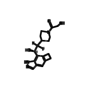 O=C(CO)N1CCC(C(F)(F)[C@H](O)c2c3c(cc4cn[nH]c24)CC3)CC1